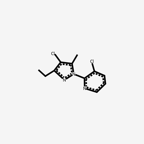 CCc1nn(-c2ncccc2Cl)c(C)c1Cl